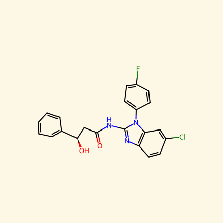 O=C(C[C@@H](O)c1ccccc1)Nc1nc2ccc(Cl)cc2n1-c1ccc(F)cc1